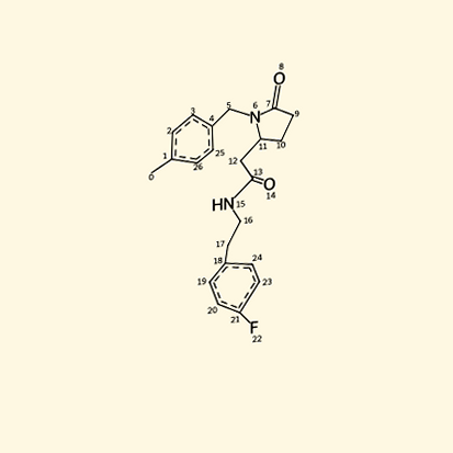 Cc1ccc(CN2C(=O)CCC2CC(=O)NCCc2ccc(F)cc2)cc1